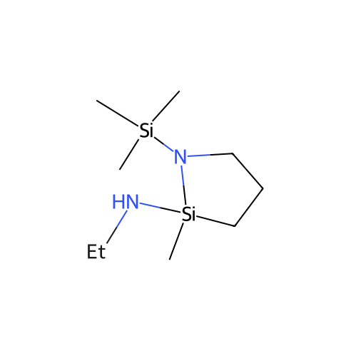 CCN[Si]1(C)CCCN1[Si](C)(C)C